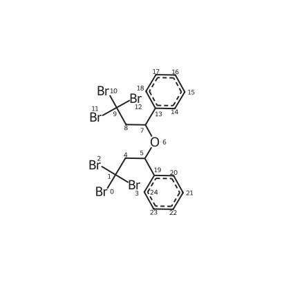 BrC(Br)(Br)CC(OC(CC(Br)(Br)Br)c1ccccc1)c1ccccc1